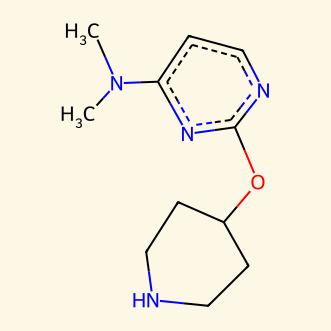 CN(C)c1ccnc(OC2CCNCC2)n1